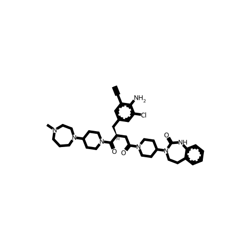 C#Cc1cc(C[C@@H](CC(=O)N2CCC(N3CCc4ccccc4NC3=O)CC2)C(=O)N2CCC(N3CCCN(C)CC3)CC2)cc(Cl)c1N